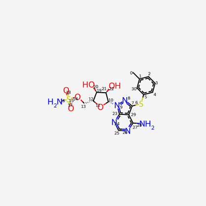 Cc1cccc(Sc2nn([C@@H]3O[C@H](COS(N)(=O)=O)[C@@H](O)[C@H]3O)c3ncnc(N)c23)c1